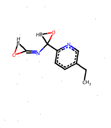 CCc1ccc(C2(/N=C3\BO3)BO2)nc1